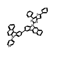 c1ccc(-c2cc3nc(-n4c5ccc(-c6ccc7c(c6)c6c8ccccc8ccc6n7-c6ccncc6)cc5c5cc6ccccc6cc54)nc(-c4ccccc4)c3s2)cc1